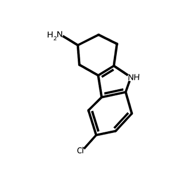 NC1CCc2[nH]c3ccc(Cl)cc3c2C1